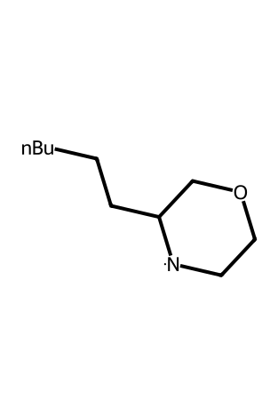 CCCCCCC1COCC[N]1